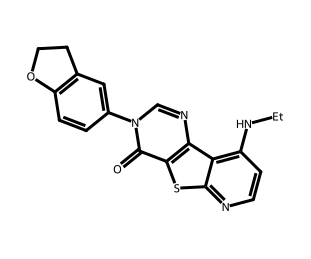 CCNc1ccnc2sc3c(=O)n(-c4ccc5c(c4)CCO5)cnc3c12